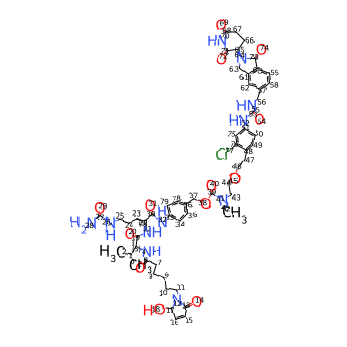 CC(C)[C@H](NC(=O)CCCCCN1C(=O)C=CC1O)C(=O)N[C@@H](CCCNC(N)=O)C(=O)Nc1ccc(COC(=O)N(C)CCOCCc2ccc(NC(=O)NCc3ccc4c(c3)CN(C3CCC(=O)NC3=O)C4=O)cc2Cl)cc1